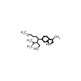 COCCCC(c1ccc2c(C)c[nH]c2c1)C(CO)C(C)C